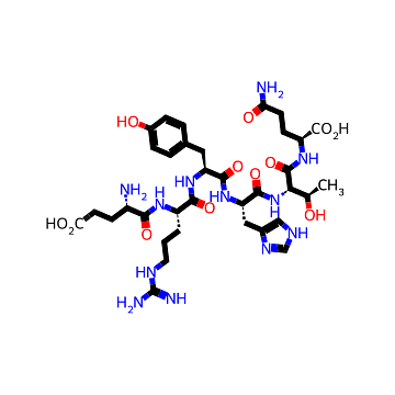 C[C@@H](O)[C@H](NC(=O)[C@H](Cc1c[nH]cn1)NC(=O)[C@H](Cc1ccc(O)cc1)NC(=O)[C@H](CCCNC(=N)N)NC(=O)[C@@H](N)CCC(=O)O)C(=O)N[C@@H](CCC(N)=O)C(=O)O